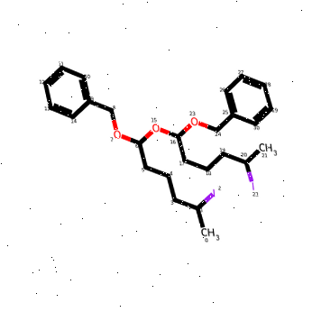 CC(I)CCCC(OCc1ccccc1)OC(CCCC(C)I)OCc1ccccc1